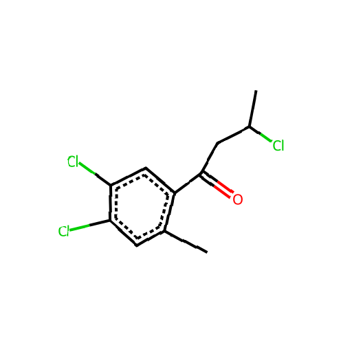 Cc1cc(Cl)c(Cl)cc1C(=O)CC(C)Cl